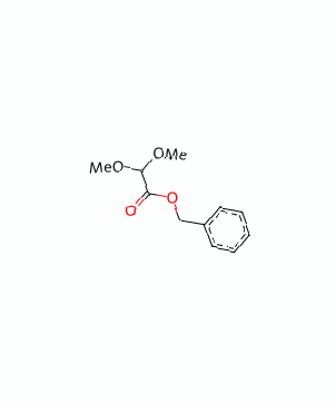 COC(OC)C(=O)OCc1ccccc1